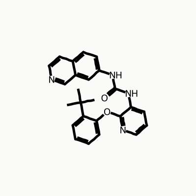 CC(C)(C)c1ccccc1Oc1ncccc1NC(=O)Nc1ccc2ccncc2c1